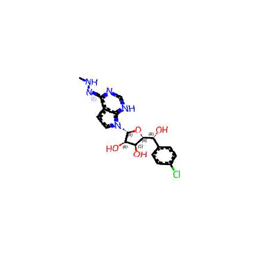 CN/N=c1\nc[nH]c2c1ccn2[C@@H]1O[C@H]([C@H](O)c2ccc(Cl)cc2)[C@@H](O)[C@H]1O